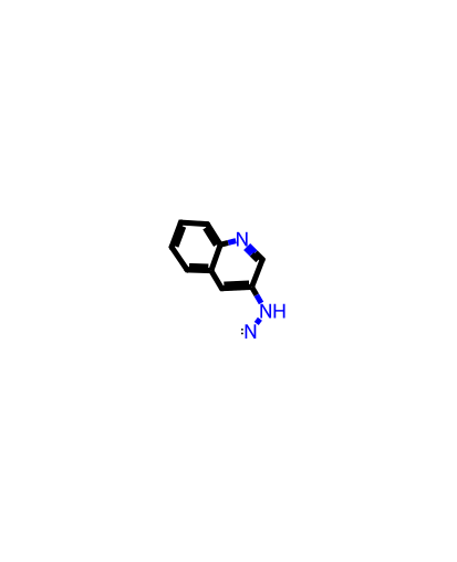 [N]Nc1cnc2ccccc2c1